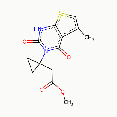 COC(=O)CC1(n2c(=O)[nH]c3scc(C)c3c2=O)CC1